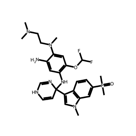 CN(C)CCN(C)c1cc(OC(F)F)c(NC2(c3cn(C)c4cc(P(C)(C)=O)ccc34)C=CNC=N2)cc1N